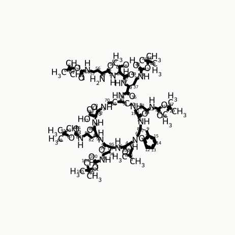 CC(C)C[C@@H]1NC(=O)[C@@H](Cc2ccccc2)NC(=O)[C@H](CCNC(=O)OC(C)(C)C)NC[C@@H](NC(=O)[C@H](CCNC(=O)OC(C)(C)C)NC(=O)[C@@H](NC(=O)[C@@H](N)CCNC(=O)OC(C)(C)C)C(C)O)CCNC(=O)[C@H]([C@H](C)O)NC(=O)[C@H](CCNC(=O)OC(C)(C)C)NC(=O)[C@H](CCNC(=O)OC(C)(C)C)NC1=O